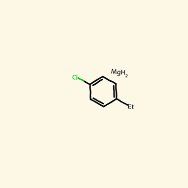 [CH2]Cc1ccc(Cl)cc1.[MgH2]